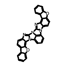 c1ccc2c(c1)oc1c2ccc2nc3n(c4cccc5c4n3c3nc4c6c(ccc4n53)oc3ccccc36)c21